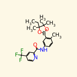 CCC1(C)OB(c2cc(NC(=O)c3cc(C(F)(F)F)ccn3)ccc2C)OC1(C)C